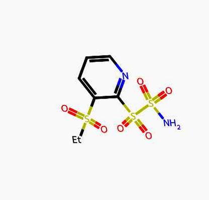 CCS(=O)(=O)c1cccnc1S(=O)(=O)S(N)(=O)=O